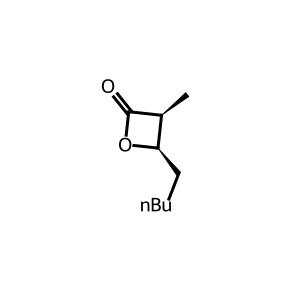 CCCCC[C@H]1OC(=O)[C@H]1C